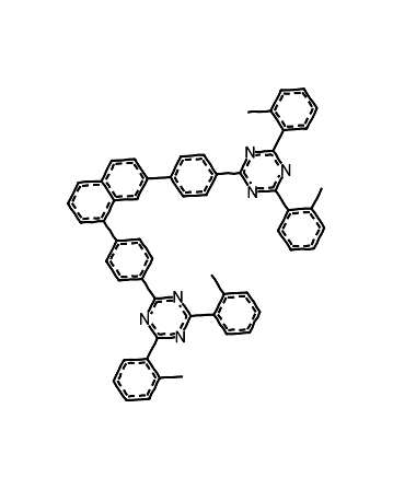 Cc1ccccc1-c1nc(-c2ccc(-c3ccc4cccc(-c5ccc(-c6nc(-c7ccccc7C)nc(-c7ccccc7C)n6)cc5)c4c3)cc2)nc(-c2ccccc2C)n1